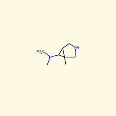 CN(C(=O)O)C1C2CNCC21C